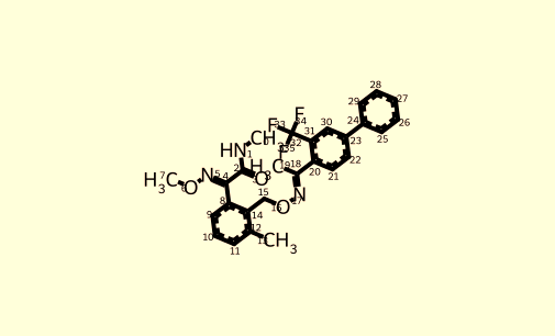 CNC(=O)/C(=N/OC)c1cccc(C)c1CO/N=C(\C)c1ccc(-c2ccccc2)cc1C(F)(F)F